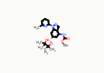 Cc1cccc(-n2ncc3c(NC(=O)OC(C)(C)C)cc(B4OC(C)(C)C(C)(C)O4)cc32)n1